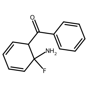 NC1(F)C=CC=CC1C(=O)c1ccccc1